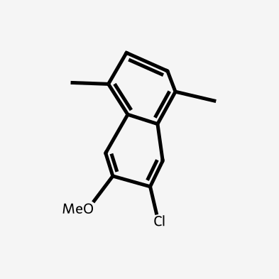 COc1cc2c(C)ccc(C)c2cc1Cl